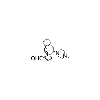 CN1CCN(C2=Cc3ccccc3Cn3c(C=O)ccc32)CC1